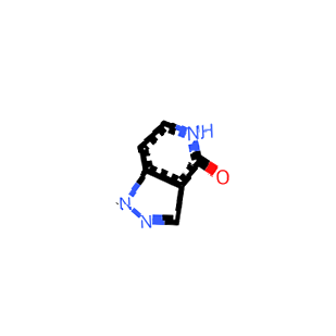 O=c1[nH]ccc2c1C=N[N]2